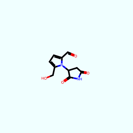 O=Cc1ccc(CO)n1C1CC(=O)NC1=O